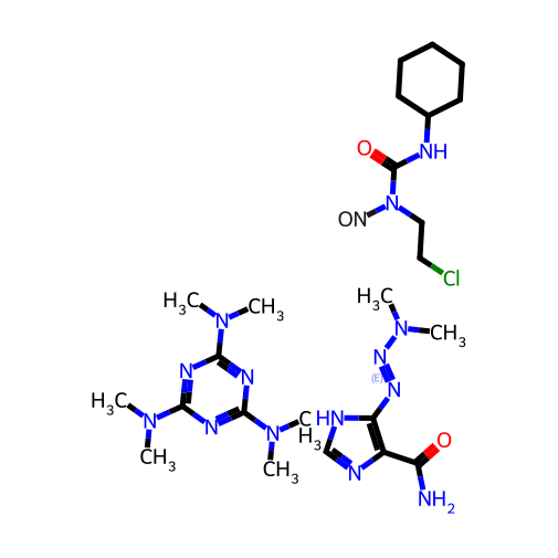 CN(C)/N=N/c1[nH]cnc1C(N)=O.CN(C)c1nc(N(C)C)nc(N(C)C)n1.O=NN(CCCl)C(=O)NC1CCCCC1